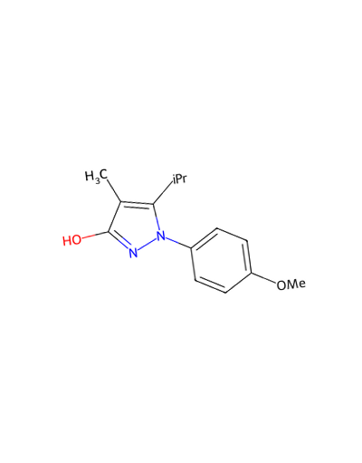 COc1ccc(-n2nc(O)c(C)c2C(C)C)cc1